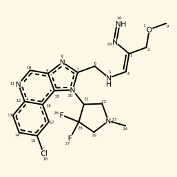 COC/C(=C/NCc1nc2cnc3ccc(Cl)cc3c2n1C1CN(C)CC1(F)F)N=N